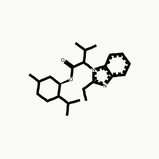 CCc1nc2ccccc2n1C(C(=O)O[C@@H]1CC(C)CCC1C(C)C)C(C)C